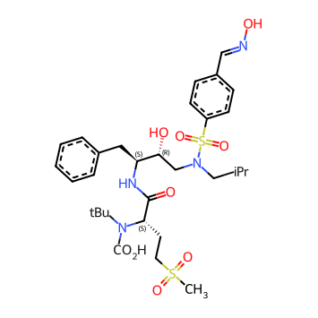 CC(C)CN(C[C@@H](O)[C@H](Cc1ccccc1)NC(=O)[C@H](CCS(C)(=O)=O)N(C(=O)O)C(C)(C)C)S(=O)(=O)c1ccc(C=NO)cc1